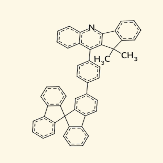 CC1(C)c2ccccc2-c2nc3ccccc3c(-c3ccc(-c4ccc5c(c4)C4(c6ccccc6-c6ccccc64)c4ccccc4-5)cc3)c21